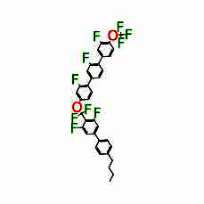 CCCCc1ccc(-c2cc(F)c(C(F)(F)Oc3ccc(-c4ccc(-c5ccc(OC(F)(F)F)c(F)c5)c(F)c4)c(F)c3)c(F)c2)cc1